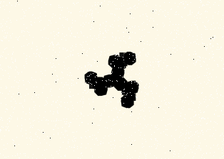 c1ccc2c(c1)nc1c3ccccc3c(-c3ccc(C(c4ccc(-c5cn6c7ccccc7nc6c6ccccc56)cc4)c4ccc(-c5cn6c7ccccc7nc6c6ccccc56)cc4)cc3)cn21